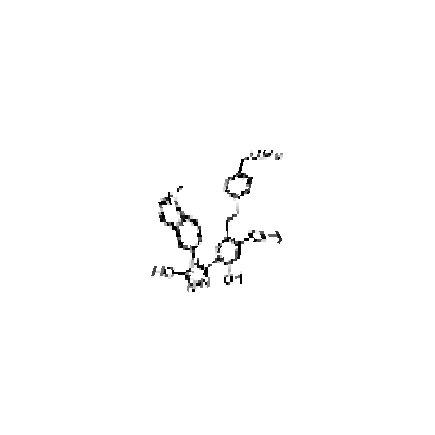 COCc1ccc(CCc2cc(-c3nnc(O)n3-c3ccc4c(ccn4C)c3)c(O)cc2O)cc1